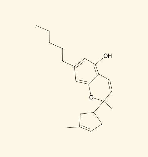 CCCCCc1cc(O)c2c(c1)OC(C)(C1CC=C(C)C1)C=C2